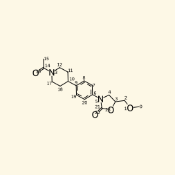 COCC1CN(c2ccc(C3CCN(C(C)=O)CC3)cc2)C(=O)O1